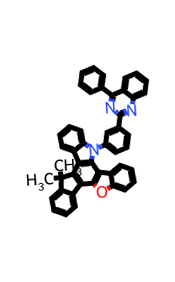 CC1(C)c2ccccc2-c2c1c1c3ccccc3n(-c3cccc(-c4nc(-c5ccccc5)c5ccccc5n4)c3)c1c1c2oc2ccccc21